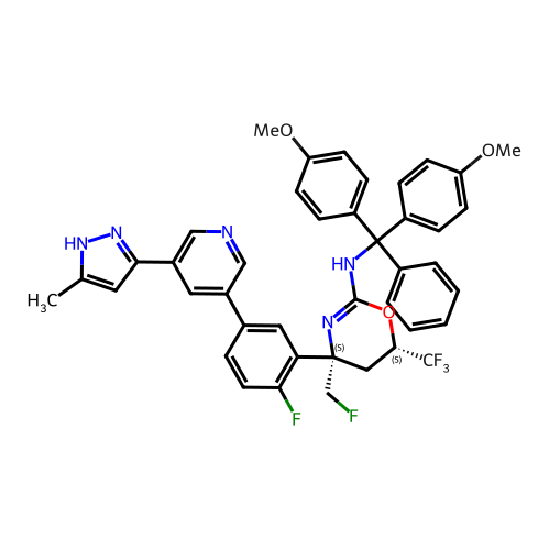 COc1ccc(C(NC2=N[C@](CF)(c3cc(-c4cncc(-c5cc(C)[nH]n5)c4)ccc3F)C[C@@H](C(F)(F)F)O2)(c2ccccc2)c2ccc(OC)cc2)cc1